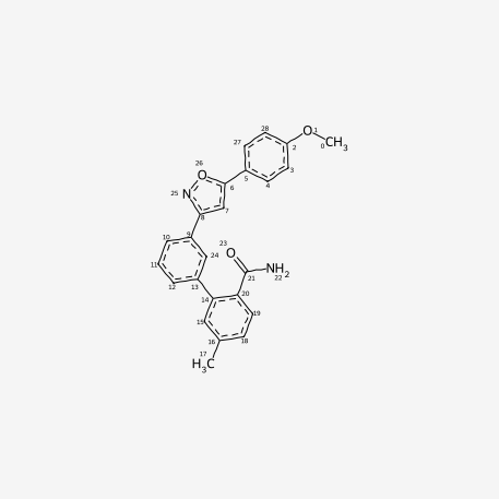 COc1ccc(-c2cc(-c3cccc(-c4cc(C)ccc4C(N)=O)c3)no2)cc1